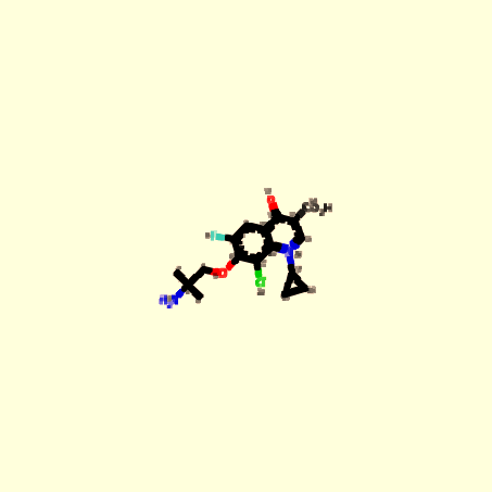 CC(C)(N)COc1c(F)cc2c(=O)c(C(=O)O)cn(C3CC3)c2c1Cl